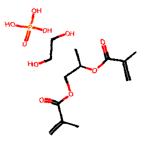 C=C(C)C(=O)OCC(C)OC(=O)C(=C)C.O=P(O)(O)O.OCCO